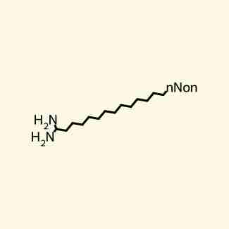 CCCCCCCCCCCCCCCCCCCCCCC(N)N